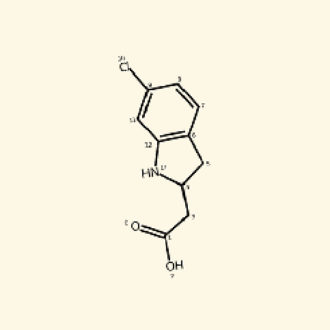 O=C(O)CC1Cc2ccc(Cl)cc2N1